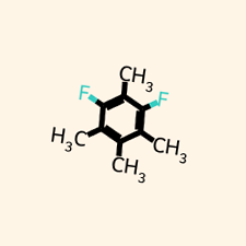 Cc1c(C)c(F)c(C)c(F)c1C